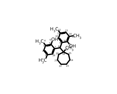 Cc1cc(C)c(O)c(C(c2cc(C)cc(C)c2O)C2(C)CCCCCC2)c1